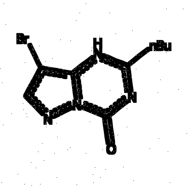 CCCCc1nc(=O)n2ncc(Br)c2[nH]1